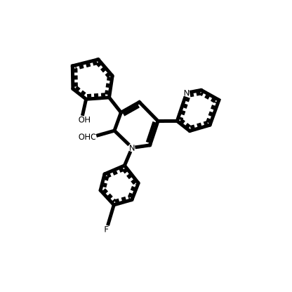 O=CC1C(c2ccccc2O)=CC(c2ccccn2)=CN1c1ccc(F)cc1